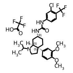 COc1ccc([C@@]23CC[C@@H](NC(=O)Nc4ccc(C(F)(F)F)c(Cl)c4)C[C@@H]2N(C(C)C)CC3)cc1OC.O=C(O)C(F)(F)F